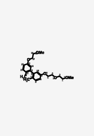 COCCOCCOc1ccc(C)c(-c2cc(OCCOC)ccc2C)c1